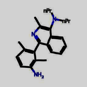 CCCN(CCC)c1c(C)nc(-c2c(C)ccc(N)c2C)c2ccccc12